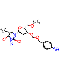 COC[C@H]1O[C@@H](n2cc(C)c(=O)[nH]c2=O)CC1OCOCc1ccc(N)cc1